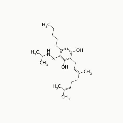 CCCCCc1cc(O)c(C/C=C(\C)CCC=C(C)C)c(O)c1SNC(C)C